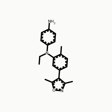 CCN(c1ccc(N)cc1)c1cc(-c2c(C)noc2C)ccc1C